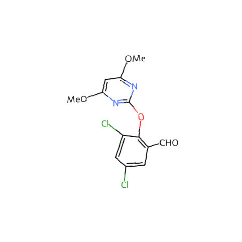 COc1cc(OC)nc(Oc2c(Cl)cc(Cl)cc2C=O)n1